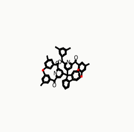 Cc1cc(C)cc(C(=O)c2cc(C3(c4cc(C(=O)c5cc(C)cc(C)c5)nc(C(=O)c5cc(C)cc(C)c5)c4)c4ccccc4-c4ccccc43)cc(C(=O)c3cc(C)cc(C)c3)n2)c1